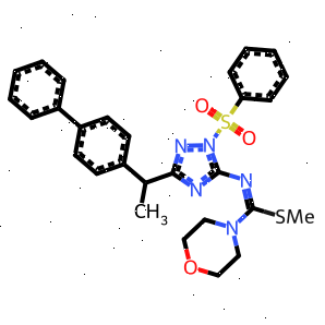 CSC(=Nc1nc(C(C)c2ccc(-c3ccccc3)cc2)nn1S(=O)(=O)c1ccccc1)N1CCOCC1